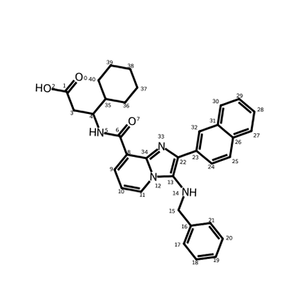 O=C(O)CC(NC(=O)c1cccn2c(NCc3ccccc3)c(-c3ccc4ccccc4c3)nc12)C1CCCCC1